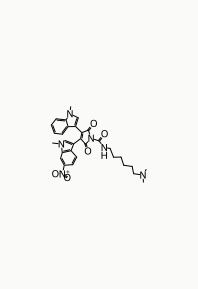 CN(C)CCCCCCNC(=O)N1C(=O)C(c2cn(C)c3ccccc23)=C(c2cn(C)c3cc([N+](=O)[O-])ccc23)C1=O